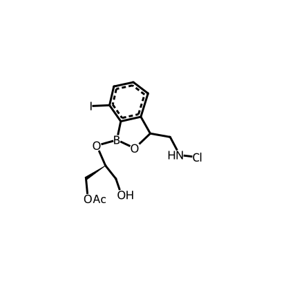 CC(=O)OC[C@H](CO)OB1OC(CNCl)c2cccc(I)c21